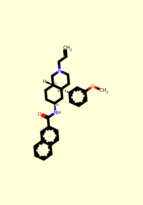 C=CCN1CC[C@@]2(c3cccc(OC)c3)C[C@@H](NC(=O)c3ccc4ccccc4c3)CC[C@@H]2C1